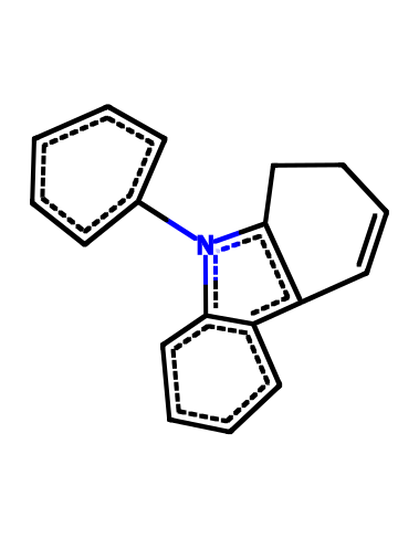 C1=Cc2c(n(-c3ccccc3)c3ccccc23)CC1